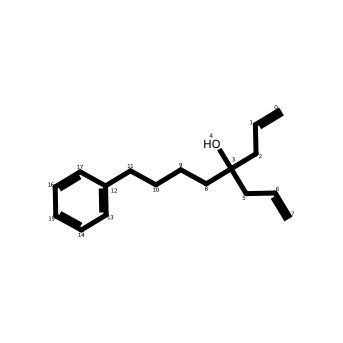 C=CCC(O)(CC=C)CCCCc1ccccc1